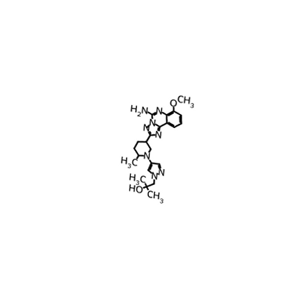 COc1cccc2c1nc(N)n1nc(C3CCC(C)N(c4cnn(CC(C)(C)O)c4)C3)nc21